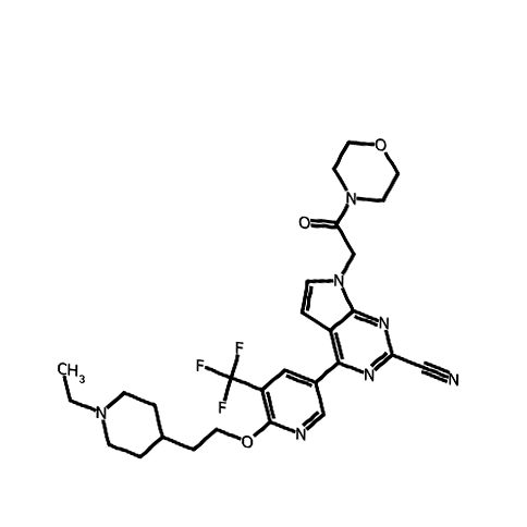 CCN1CCC(CCOc2ncc(-c3nc(C#N)nc4c3ccn4CC(=O)N3CCOCC3)cc2C(F)(F)F)CC1